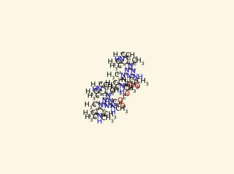 CCN(c1nc(NC(C)(C)C(=O)OCCOCCOC(=O)C(C)(C)Nc2nc(N(CC)C3CC(C)(C)NC(C)(C)C3)nc(N(CC)C3CC(C)(C)NC(C)(C)C3)n2)nc(N(CC)C2CC(C)(C)NC(C)(C)C2)n1)C1CC(C)(C)NC(C)(C)C1